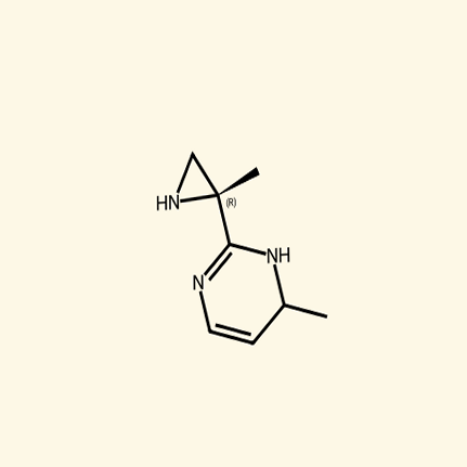 CC1C=CN=C([C@@]2(C)CN2)N1